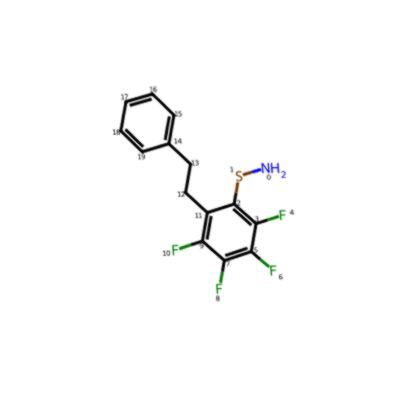 NSc1c(F)c(F)c(F)c(F)c1CCc1ccccc1